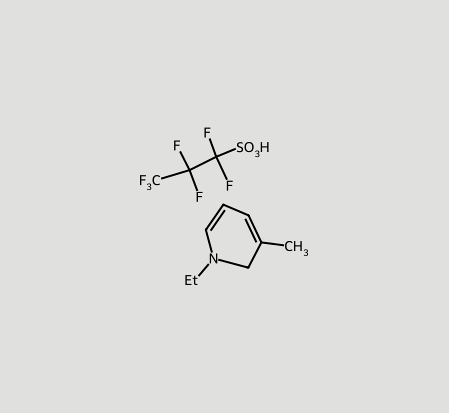 CCN1C=CC=C(C)C1.O=S(=O)(O)C(F)(F)C(F)(F)C(F)(F)F